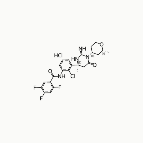 C[C@@H]1C[C@H](N2C(=N)N[C@](C)(c3cccc(NC(=O)c4cc(F)c(F)cc4F)c3Cl)CC2=O)CCO1.Cl